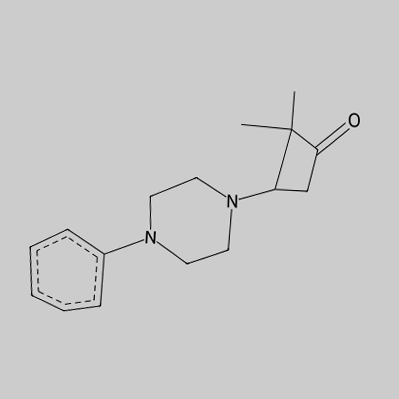 CC1(C)C(=O)CC1N1CCN(c2ccccc2)CC1